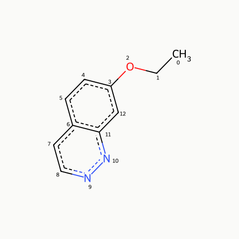 CCOc1ccc2ccnnc2c1